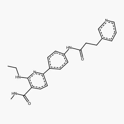 CCNc1nc(-c2ccc(NC(=O)CCc3cccnc3)cc2)ccc1C(=O)NC